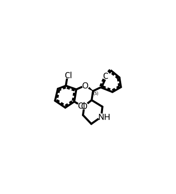 Clc1cccc(Cl)c1O[C@@H](c1ccccc1)C1CNCCO1